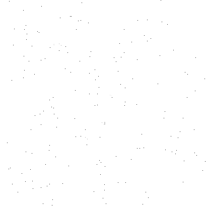 CC(=O)Nc1ccc(S(=O)(=O)NC(C=O)CC(=O)O)c(OCCc2nc3ccccc3[nH]2)c1